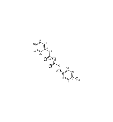 O=C(COc1ccc(F)cc1)OC(=O)Cc1ccccc1